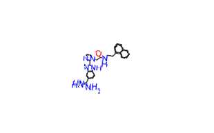 N=C(N)c1ccc2[nH]c(-c3nccn3CC(=O)NCCc3cccc4ccccc34)nc2c1